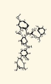 COc1ccc(N(C(=O)OC(C)c2ccccc2)c2ccnc(Nc3ccc(N4CCN(C)C(C)C4)c(F)c3)n2)c(OC)c1